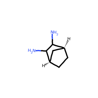 NC1C(N)[C@H]2CC[C@@H]1C2